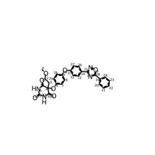 COCCC1(Oc2ccc(Oc3ccc(-c4noc(-c5ccccc5)n4)cc3)cc2)C(=O)NC(=O)NC1=O